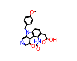 COc1ccc(CN2C3=CN=CC(=O)C3c3c2ccc(CC(=O)O)c3NC=O)cc1